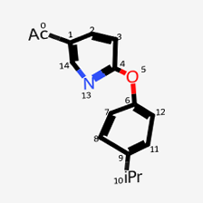 CC(=O)c1ccc(Oc2ccc(C(C)C)cc2)nc1